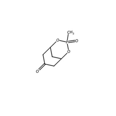 CP1(=O)OC2CC(=O)CC(C2)O1